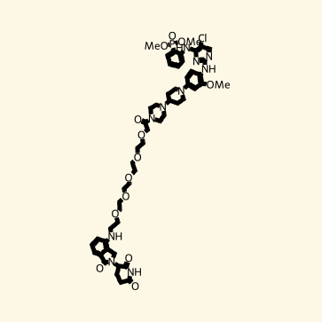 COc1cc(N2CCC(N3CCN(C(=O)COCCOCCOCCOCCOCCNc4cccc5c4CN(C4CCC(=O)NC4=O)C5=O)CC3)CC2)ccc1Nc1ncc(Cl)c(Nc2ccccc2P(=O)(OC)OC)n1